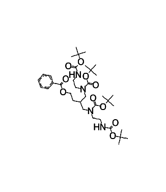 CC(C)(C)OC(=O)NCCN(CC(CCOC(=O)c1ccccc1)CN(CCNC(=O)OC(C)(C)C)C(=O)OC(C)(C)C)C(=O)OC(C)(C)C